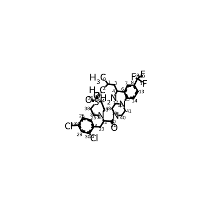 CC(C)CC(N)c1cc(C(F)(F)F)ccc1N1CCN(C(=O)C(Cc2ccc(Cl)cc2Cl)N2CCS(=O)(=O)CC2)CC1